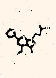 Cc1nn(CCC(=O)O)c2nc(-c3cccs3)cc(C=O)c12